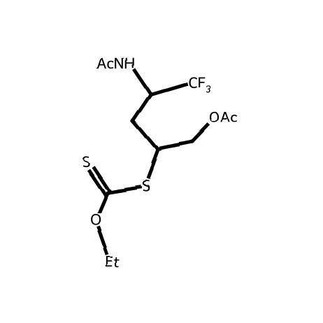 CCOC(=S)SC(COC(C)=O)CC(NC(C)=O)C(F)(F)F